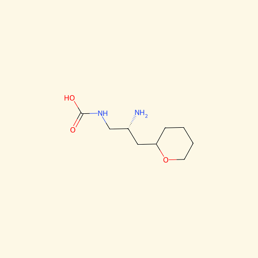 N[C@@H](CNC(=O)O)CC1CCCCO1